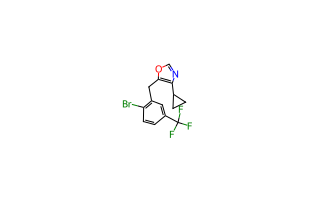 FC(F)(F)c1ccc(Br)c(Cc2ocnc2C2CC2)c1